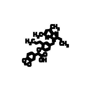 CCCc1cc(Cn2c(CC)nc3c(C)cc(C)nc32)ccc1OC(C(=O)O)c1ccc2c(c1)OCO2